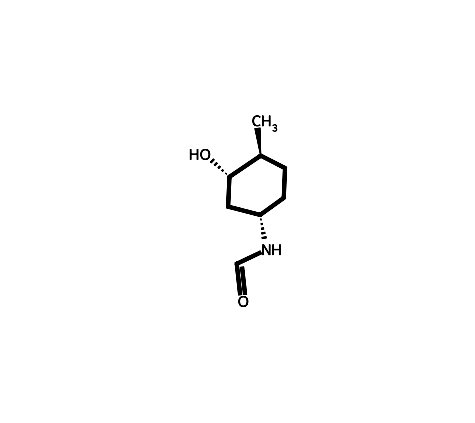 C[C@H]1CC[C@H](NC=O)C[C@@H]1O